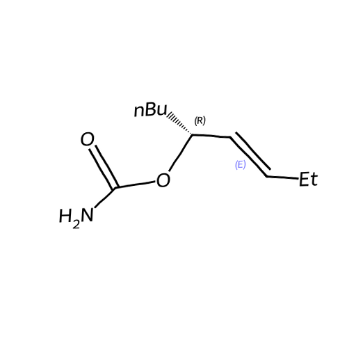 CC/C=C/[C@@H](CCCC)OC(N)=O